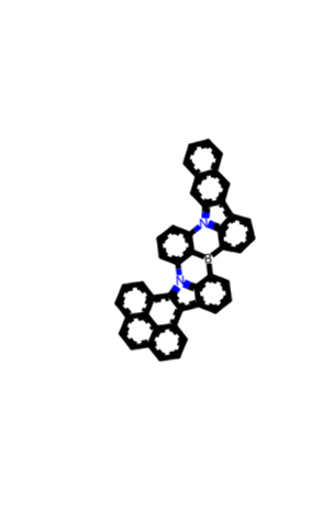 c1cc2c3c(c1)-n1c4c(cccc4c4c5cccc6ccc7cccc(c7c65)c41)B3c1cccc3c4cc5ccccc5cc4n-2c13